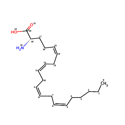 CCCCC/C=C\C/C=C\C/C=C\C/C=C\CC[C@H](N)C(=O)O